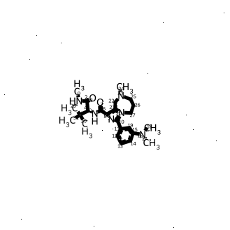 CNC(=O)[C@@H](NC(=O)c1nc(-c2cccc(N(C)C)c2)n2c1CN(C)CCC2)C(C)(C)C